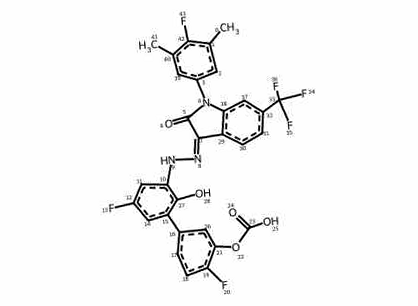 Cc1cc(N2C(=O)C(=NNc3cc(F)cc(-c4ccc(F)c(OC(=O)O)c4)c3O)c3ccc(C(F)(F)F)cc32)cc(C)c1F